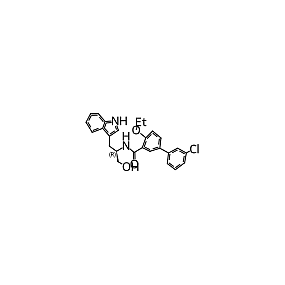 CCOc1ccc(-c2cccc(Cl)c2)cc1C(=O)N[C@@H](CO)Cc1c[nH]c2ccccc12